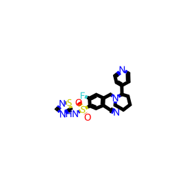 N#Cc1cc(S(=O)(=O)Nc2ncns2)c(F)cc1CN1CCCCC1c1ccncc1